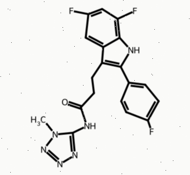 Cn1nnnc1NC(=O)CCc1c(-c2ccc(F)cc2)[nH]c2c(F)cc(F)cc12